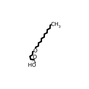 CCCCCCCCCCCCOCC1CC[C@@H](CO)O1